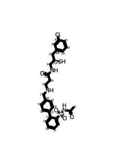 CC(=O)NS(=O)(=O)c1ccccc1-c1ccc(CNCCC(=O)NC[C@H](S)Cc2cccc(Cl)c2)cc1